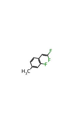 Cc1ccc(C=C(F)F)c(F)c1